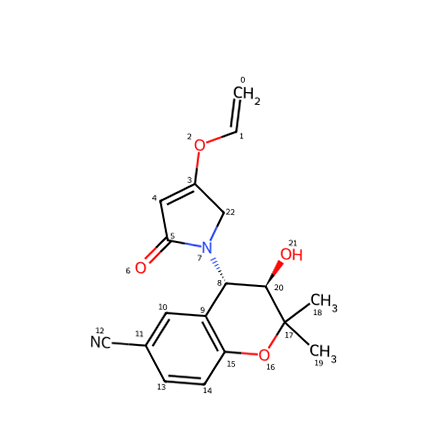 C=COC1=CC(=O)N([C@H]2c3cc(C#N)ccc3OC(C)(C)[C@@H]2O)C1